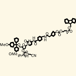 COc1ccc(C(OC[C@H]2OC(n3ccc(NC(=O)c4ccc(CNC(=O)Cc5ccc(OC(=O)OCCN(C)C(=O)OCC6c7ccccc7-c7ccccc76)cc5)cc4)nc3=O)CC2OP(OCCC#N)N(C(C)C)C(C)C)(c2ccccc2)c2ccc(OC)cc2)cc1